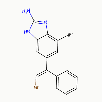 CC(C)c1cc(C(=CBr)c2ccccc2)cc2[nH]c(N)nc12